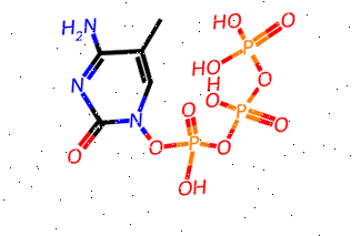 Cc1cn(OP(=O)(O)OP(=O)(O)OP(=O)(O)O)c(=O)nc1N